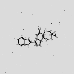 Clc1nn2c(-c3cc4ccccc4o3)nnc2c2c1OCC1(CC1)CO2